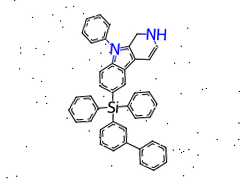 C1=Cc2c(n(-c3ccccc3)c3ccc([Si](c4ccccc4)(c4ccccc4)c4cccc(-c5ccccc5)c4)cc23)CN1